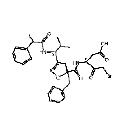 CC(C(=O)N[C@H](C1=NOC(Cc2ccccc2)(C(=O)N[C@@H](CC(=O)O)C(=O)CBr)C1)C(C)C)c1ccccc1